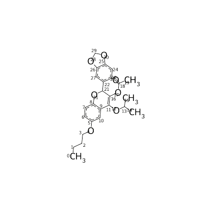 CCCCOc1ccc2c(c1)C(OC(C)C)=C(OC(C)=O)C(c1ccc3c(c1)OCO3)O2